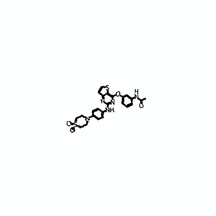 CC(=O)Nc1cccc(Oc2nc(Nc3ccc(N4CCS(=O)(=O)CC4)cc3)nc3ccsc23)c1